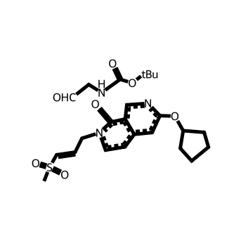 CC(C)(C)OC(=O)NCC=O.CS(=O)(=O)/C=C/Cn1ccc2cc(OC3CCCC3)ncc2c1=O